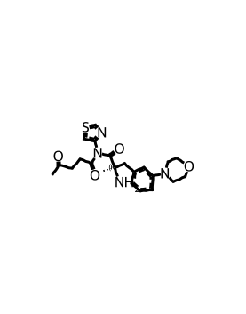 CC(=O)CCC(=O)N(C(=O)[C@](C)(N)Cc1cccc(N2CCOCC2)c1)c1cscn1